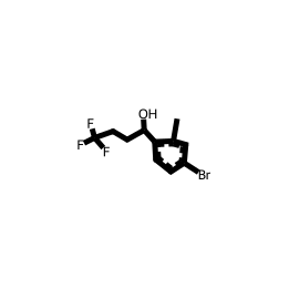 Cc1cc(Br)ccc1C(O)CCC(F)(F)F